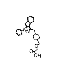 O=C(O)COCC1CCC(Cc2nn(-c3ccccc3)c3c2=C2CC=CC=C2C=3)CC1